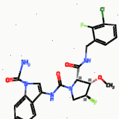 CO[C@H]1[C@@H](C(=O)NCc2cccc(Cl)c2F)N(C(=O)Nc2cn(C(N)=O)c3ccccc23)C[C@@H]1F